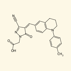 Cc1ccc(N2CCCc3cc(/C=C4\C(=O)N(CC(=O)O)N=C4C#N)ccc32)cc1